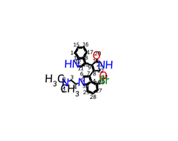 CN(C)CCn1cc(C2=C(c3c[nH]c4ccccc34)C(=O)NC2=O)c2c(Br)cccc21